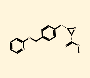 COC(=O)[C@H]1O[C@H]1Cc1ccc(COc2ccccn2)cc1